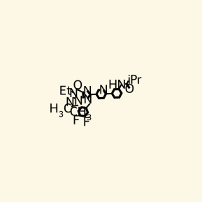 CCN1C(=O)c2nc(-c3ccc(-c4cccc(NC(=O)C(C)C)c4)nc3)n(Cc3ccc(F)c(F)c3)c2N2CC(C)(C)N=C12